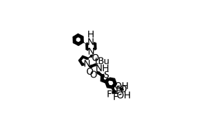 CC(C)(C)[C@H](NC(=O)c1cc2cc(C(F)(F)P(=O)(O)O)ccc2s1)C(=O)N1CCC[C@H]1C(=O)N1CCN[C@@H](c2ccccc2)C1